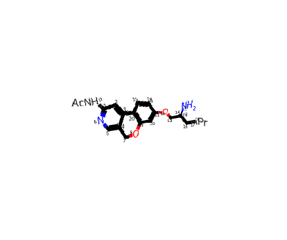 CC(=O)Nc1cc2c(cn1)COc1cc(OC[C@@H](N)CC(C)C)ccc1-2